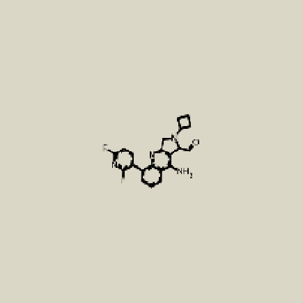 Nc1c2c(nc3c(-c4ccc(F)nc4F)cccc13)CN(C1CCC1)C2C=O